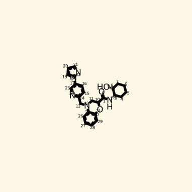 O=C(N[C@H]1CCCC[C@@H]1O)C1CN(Cc2ccc(-n3cccn3)cn2)c2ccccc2O1